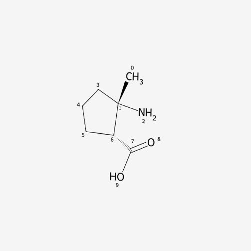 C[C@]1(N)CCC[C@H]1C(=O)O